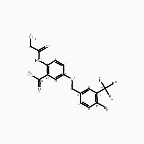 CCC(=O)Nc1ccc(OCc2ccc(Br)c(C(F)(F)F)c2)cc1C(=O)O